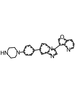 c1cnc2c(-c3cnc4cc(-c5ccc(N6CCNCC6)cc5)ccn34)coc2c1